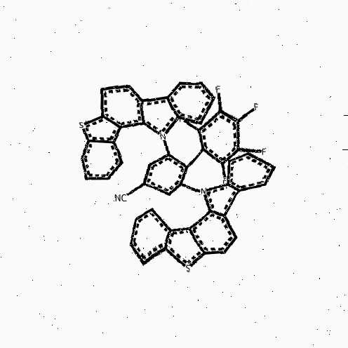 N#Cc1cc(-n2c3ccccc3c3ccc4sc5ccccc5c4c32)c(-c2c(F)c(F)c(F)c(F)c2F)c(-n2c3ccccc3c3ccc4sc5ccccc5c4c32)c1